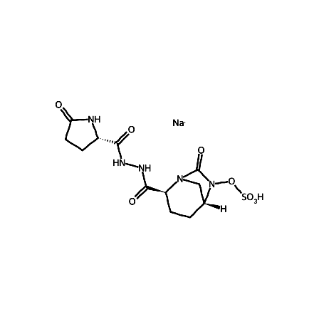 O=C1CC[C@@H](C(=O)NNC(=O)[C@@H]2CC[C@@H]3CN2C(=O)N3OS(=O)(=O)O)N1.[Na]